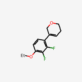 CCOc1ccc(C2=CCCOC2)c(F)c1F